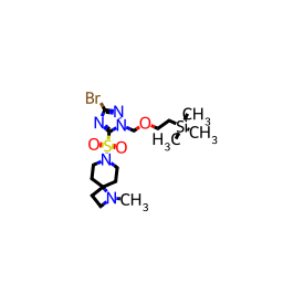 CN1CCC12CCN(S(=O)(=O)c1nc(Br)nn1COCC[Si](C)(C)C)CC2